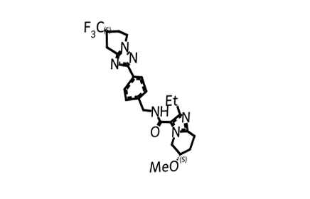 CCc1nc2n(c1C(=O)NCc1ccc(-c3nc4n(n3)CC[C@H](C(F)(F)F)C4)cc1)C[C@@H](OC)CC2